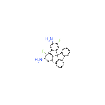 Cc1cc(N)c(F)cc1C1(c2cc(F)c(N)cc2C)c2ccccc2-c2ccccc21